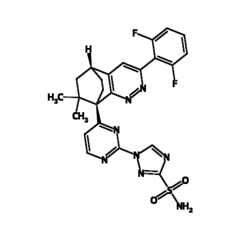 CC1(C)C[C@H]2CC[C@]1(c1ccnc(-n3cnc(S(N)(=O)=O)n3)n1)c1nnc(-c3c(F)cccc3F)cc12